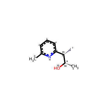 Cc1cccc([C@H](I)[C@H](C)O)n1